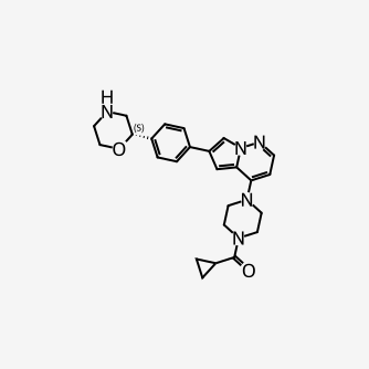 O=C(C1CC1)N1CCN(c2ccnn3cc(-c4ccc([C@H]5CNCCO5)cc4)cc23)CC1